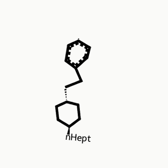 CCCCCCC[C@H]1CC[C@H](CCc2cc[c]cc2)CC1